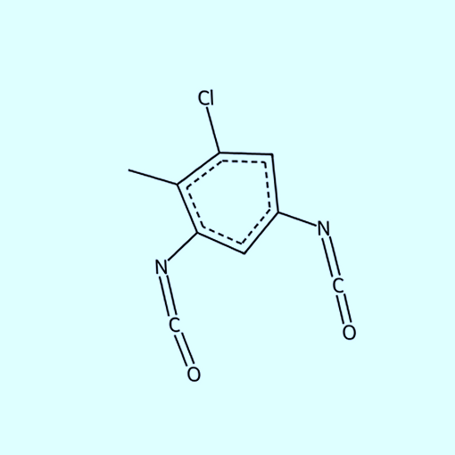 Cc1c(Cl)cc(N=C=O)cc1N=C=O